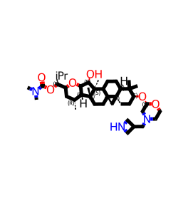 CC(C)[C@@H](OC(=O)N(C)C)C1C[C@@H](C)[C@H]2C(O1)[C@H](O)[C@@]1(C)C3CC[C@H]4C(C)(C)[C@@H](O[C@H]5CN(CC6CNC6)CCO5)CC[C@@]45C[C@@]35CC[C@]21C